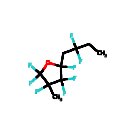 CCC(F)(F)CC1(F)OC(F)(F)C(C)(F)C1(F)F